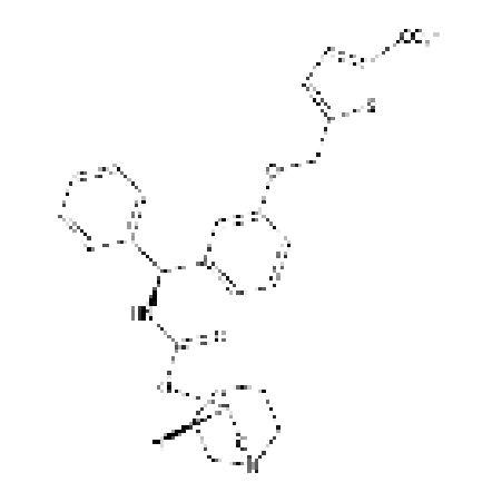 O=C(N[C@@H](c1ccccc1)c1cccc(OCc2ccc(C(=O)O)s2)c1)O[C@H]1CN2CCC1CC2